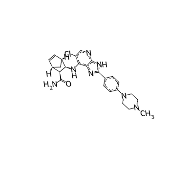 CN1CCN(c2ccc(-c3nc4c(N[C@H]5[C@@H](C(N)=O)[C@@H]6C=C[C@H]5C6)c(Cl)cnc4[nH]3)cc2)CC1